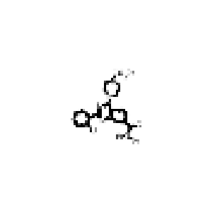 CCOC(=O)N1CCN(c2nc(-c3ccccc3Cl)nc3cc(C(=O)N(CC)CC)ccc23)CC1